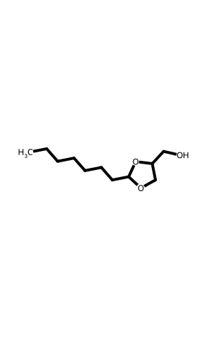 CCCCCCCC1OCC(CO)O1